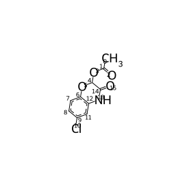 CC(=O)OC1Oc2ccc(Cl)cc2NC1=O